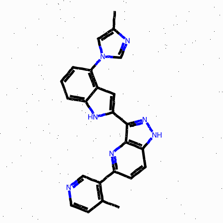 Cc1cn(-c2cccc3[nH]c(-c4n[nH]c5ccc(-c6cnccc6C)nc45)cc23)cn1